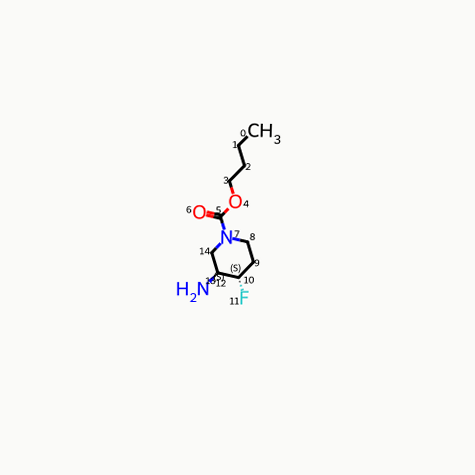 CCCCOC(=O)N1CC[C@H](F)[C@@H](N)C1